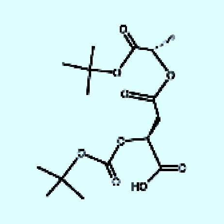 C[C@H](OC(=O)C[C@H](OC(=O)OC(C)(C)C)C(=O)O)C(=O)OC(C)(C)C